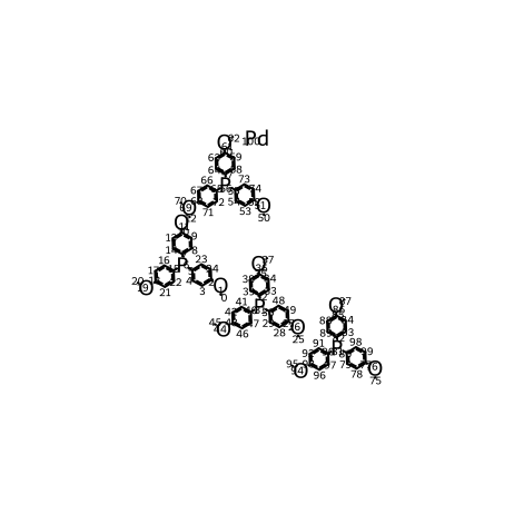 COc1ccc(P(c2ccc(OC)cc2)c2ccc(OC)cc2)cc1.COc1ccc(P(c2ccc(OC)cc2)c2ccc(OC)cc2)cc1.COc1ccc(P(c2ccc(OC)cc2)c2ccc(OC)cc2)cc1.COc1ccc(P(c2ccc(OC)cc2)c2ccc(OC)cc2)cc1.[Pd]